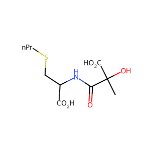 CCCSCC(NC(=O)C(C)(O)C(=O)O)C(=O)O